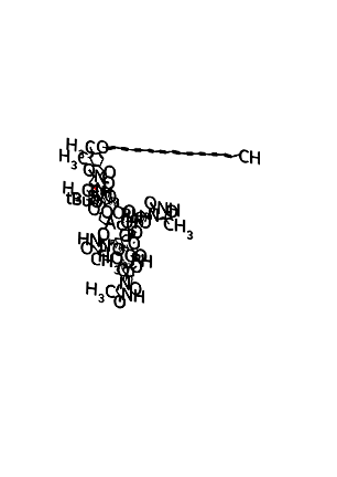 C#CC#CC#CC#CC#CC#CC#CC#CC#CC#CC#COc1cc(C(=O)n2c(=O)ccn([C@@H]3O[C@H](CO[PH](=O)OC4C[C@H](n5cc(C)c(=O)[nH]c5=O)O[C@@H]4CO[PH](=O)OC4C[C@H](n5cc(C)c(=O)[nH]c5=O)O[C@@H]4CO[PH](=O)OC4C[C@H](n5cc(C)c(=O)[nH]c5=O)O[C@@H]4CO)C(OC(=O)CCC(C)=O)[C@@H]3O[Si](C)(C)C(C)(C)C)c2=O)cc(C)c1C